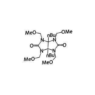 CCCCC12N(COC)C(=O)N(COC)C1(CCCC)N(COC)C(=O)N2COC